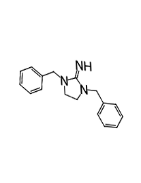 N=C1N(Cc2ccccc2)CCN1Cc1ccccc1